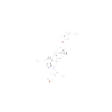 CC(O)C(CN[C@]12CC[C@@H](C(C)C)[C@@H]1[C@H]1CC[C@@H]3[C@@]4(C)CC[C@H](OC(=O)[C@@H]5C[C@H](C(=O)O)C5(C)C)C(C)(C)[C@@H]4CC[C@@]3(C)[C@]1(C)CC2)N1CCS(=O)(=O)CC1